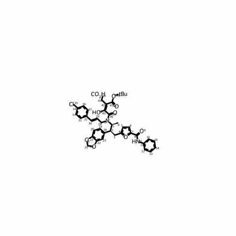 C[C@@H]([C@@H](Cc1ccc(C(=O)Nc2ccccc2)o1)c1ccc2c(c1)OCO2)N(C/C=C/c1ccc(Cl)cc1)C(=O)C(O)=C(CC(=O)O)C(=O)OC(C)(C)C